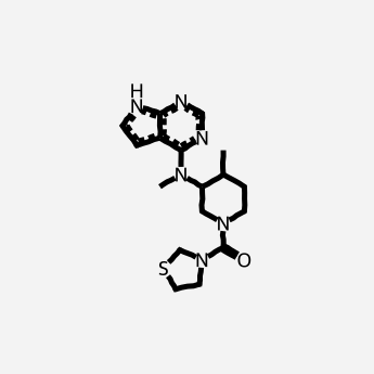 CC1CCN(C(=O)N2CCSC2)CC1N(C)c1ncnc2[nH]ccc12